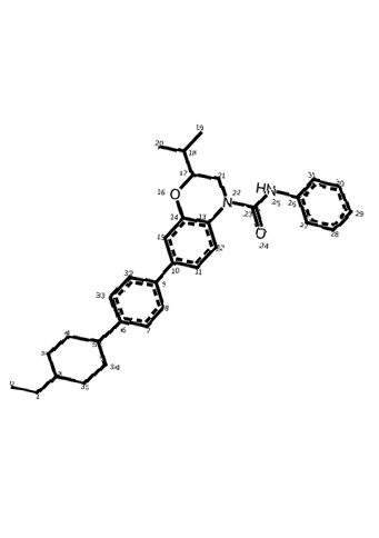 CCC1CCC(c2ccc(-c3ccc4c(c3)OC(C(C)C)CN4C(=O)Nc3ccccc3)cc2)CC1